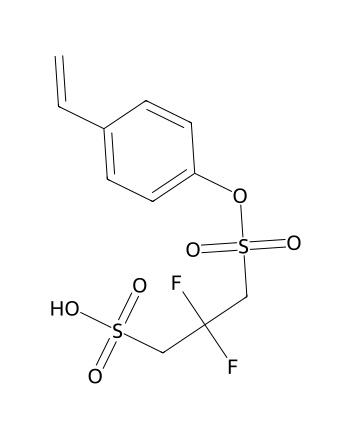 C=Cc1ccc(OS(=O)(=O)CC(F)(F)CS(=O)(=O)O)cc1